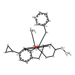 COC1CCC2(CC1)Cc1ccc(C3CC3)cc1C21N=C(N)N(Cc2cccnn2)C1=O